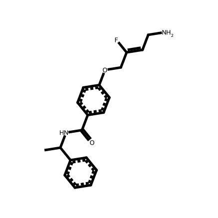 CC(NC(=O)c1ccc(OC/C(F)=C/CN)cc1)c1ccccc1